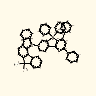 CC1(C)c2ccccc2-c2c1ccc1c3ccccc3n(-c3ccc4c(c3)[Si](c3ccccc3)(c3ccccc3)c3c(-c5ccccc5)nc(-c5ccccc5)nc3-4)c21